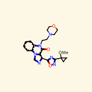 COC1(c2noc(-c3ncn4c3c(=O)n(CCN3CCOCC3)c3ccccc34)n2)CC1